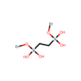 CCO[Si](O)(O)CC[Si](O)(O)OCC